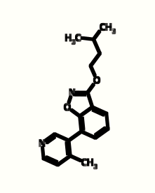 Cc1ccncc1-c1cccc2c(OCCC(C)C)noc12